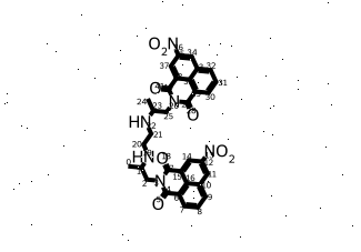 CC(CN1C(=O)c2cccc3cc([N+](=O)[O-])cc(c23)C1=O)NCCNC(C)CN1C(=O)c2cccc3cc([N+](=O)[O-])cc(c23)C1=O